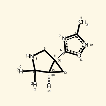 [2H]C1([2H])NC[C@@]2(c3nc(C)no3)C[C@@H]12